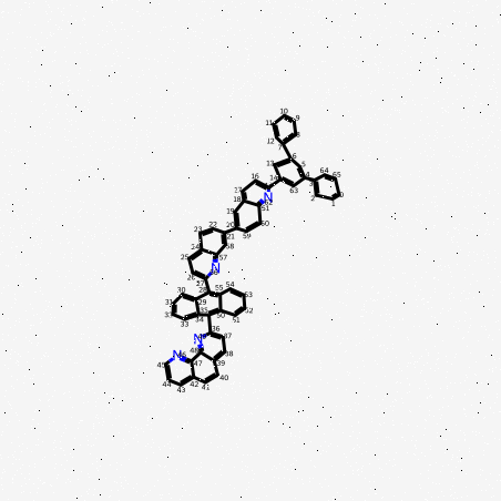 c1ccc(-c2cc(-c3ccccc3)cc(-c3ccc4cc(-c5ccc6ccc(-c7c8ccccc8c(-c8ccc9ccc%10cccnc%10c9n8)c8ccccc78)nc6c5)ccc4n3)c2)cc1